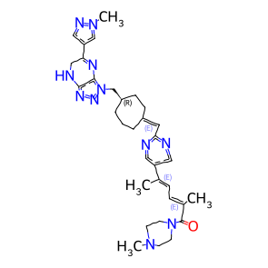 C/C(=C\C=C(/C)c1cnc(/C=C2\CCC[C@@H](Cn3nnc4c3N=C(c3cnn(C)c3)CN4)CC2)nc1)C(=O)N1CCN(C)CC1